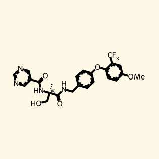 COc1ccc(Oc2ccc(CNC(=O)[C@@](C)(CO)NC(=O)c3cncnc3)cc2)c(C(F)(F)F)c1